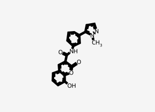 Cn1nccc1-c1cccc(NC(=O)c2cc3cccc(O)c3oc2=O)c1